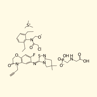 C#CCN1C(=O)COc2cc(F)c(/N=c3\snc4n3CC(C)(C)C4)cc21.CCc1cccc(CC)c1N(COC)C(=O)CCl.C[S+](C)C.O=C(O)CNCP(=O)([O-])O